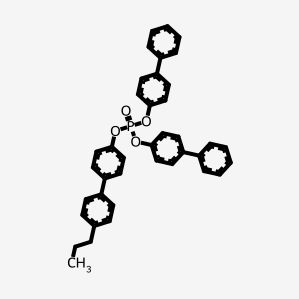 CCCc1ccc(-c2ccc(OP(=O)(Oc3ccc(-c4ccccc4)cc3)Oc3ccc(-c4ccccc4)cc3)cc2)cc1